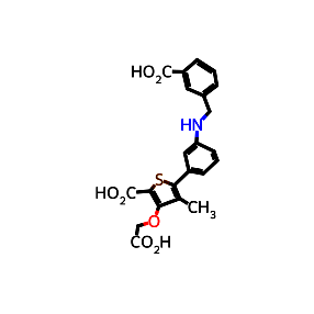 Cc1c(-c2cccc(NCc3cccc(C(=O)O)c3)c2)sc(C(=O)O)c1OCC(=O)O